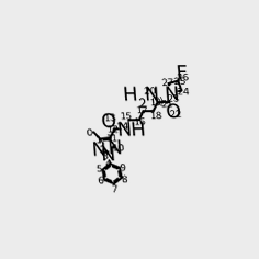 Cc1nn(-c2ccccc2)nc1C(=O)NCCCC[C@H](N)C(=O)N1CC(F)C1